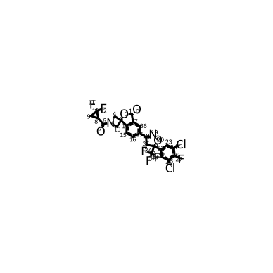 O=C1OC2(CN(C(=O)C3CC3(F)F)C2)c2ccc(C3=NOC(c4cc(Cl)c(F)c(Cl)c4)(C(F)(F)F)C3)cc21